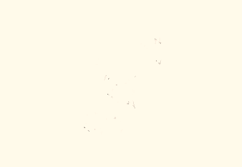 C1=C2CN(Cc3cc4nc(-c5cccc6[nH]ccc56)nc(N5CCOCC5)c4s3)CCN2CC1